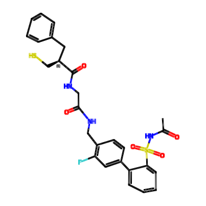 CC(=O)NS(=O)(=O)c1ccccc1-c1ccc(CNC(=O)CNC(=O)[C@@H](CS)Cc2ccccc2)c(F)c1